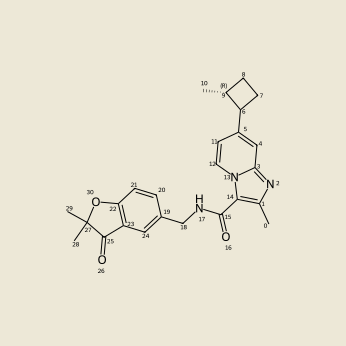 Cc1nc2cc(C3CC[C@H]3C)ccn2c1C(=O)NCc1ccc2c(c1)C(=O)C(C)(C)O2